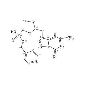 NC1=NC(=O)C2N=CN(CC(CF)OCP(=O)(O)OCc3ccccc3)C2=N1